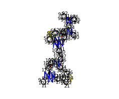 c1ccc(-c2nc(-c3ccccc3)nc(-c3ccc(-c4cccc5sc6ccc(-c7ccc8c(c7)c7ccc(-c9ccc(-c%10nc(-c%11ccccc%11)nc(-c%11cccc%12sc%13ccc(-c%14ccc%15c(c%14)c%14cc%16c(cc%14n%15-c%14ccccc%14)c%14ccccc%14n%16-c%14ccccc%14)cc%13c%11%12)n%10)cc9)cc7n8-c7ccccc7)cc6c45)cc3)n2)cc1